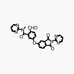 CN(C(=O)c1cc(Oc2ccc3c(c2)C(=O)N(c2ncccn2)C3=O)ccc1C=O)c1ncccn1